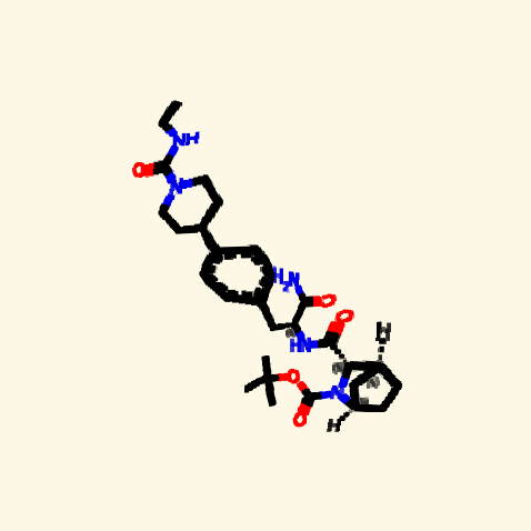 CCNC(=O)N1CCC(c2ccc(C[C@H](NC(=O)[C@@H]3[C@H]4CC[C@H](C4)N3C(=O)OC(C)(C)C)C(N)=O)cc2)CC1